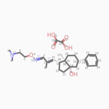 CC(/C=N/OCCN(C)C)=C\[C@H]1CC[C@]2(O)C[C@@H](c3ccccc3)CC[C@]12C.O=C(O)C(=O)O